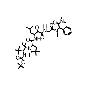 CC(C)CC(NC(=O)[C@@H]1CC(C)(C)CN1C(=O)[C@@H](NC(=O)OC(C)(C)C)C(C)(C)C)C(=O)C(=O)NCC(=O)NC(C(=O)N(C)C)c1ccccc1